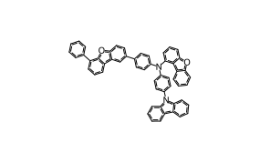 c1ccc(-c2cccc3c2oc2ccc(-c4ccc(N(c5ccc(-n6c7ccccc7c7ccccc76)cc5)c5cccc6oc7ccccc7c56)cc4)cc23)cc1